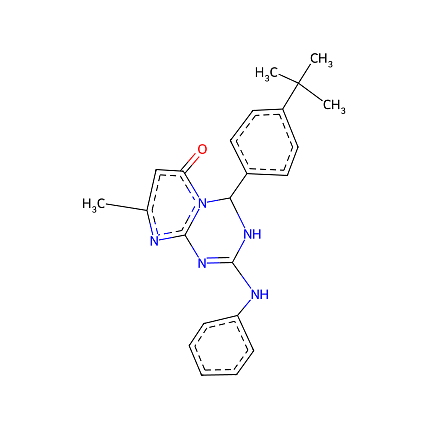 Cc1cc(=O)n2c(n1)N=C(Nc1ccccc1)NC2c1ccc(C(C)(C)C)cc1